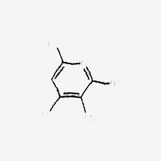 CCCc1cc(C)nc(N)c1C#N